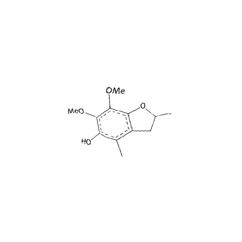 COc1c(O)c(C)c2c(c1OC)OC(C)C2